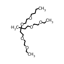 [CH2]C(CCOCCOCC)(CCOCCOCC)OCCOCCCC